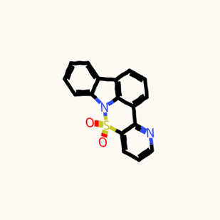 O=S1(=O)c2cccnc2-c2cccc3c4ccccc4n1c23